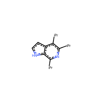 CC(C)c1nc(C(C)C)c2[nH]ccc2c1C(C)C